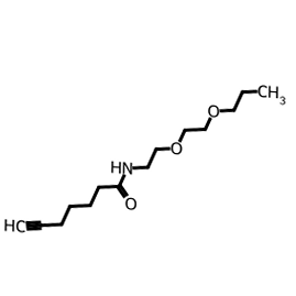 C#CCCCCC(=O)NCCOCCOCCC